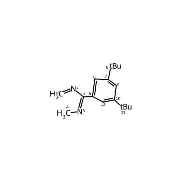 C=N/C(=N\C)c1cc(C(C)(C)C)cc(C(C)(C)C)c1